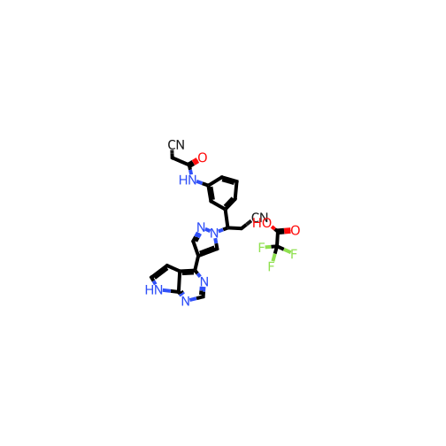 N#CCC(=O)Nc1cccc(C(CC#N)n2cc(-c3ncnc4[nH]ccc34)cn2)c1.O=C(O)C(F)(F)F